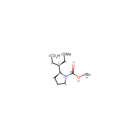 COC[C@H](CC(=O)O)[C@@H]1CCCN1C(=O)OC(C)(C)C